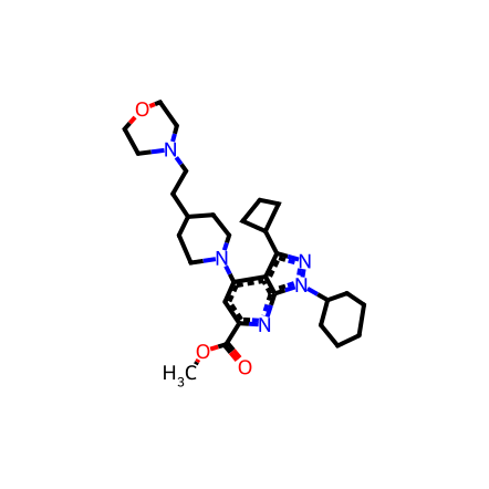 COC(=O)c1cc(N2CCC(CCN3CCOCC3)CC2)c2c(C3CCC3)nn(C3CCCCC3)c2n1